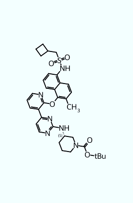 Cc1ccc2c(NS(=O)(=O)CC3CCC3)cccc2c1Oc1ncccc1-c1ccnc(N[C@H]2CCCN(C(=O)OC(C)(C)C)C2)n1